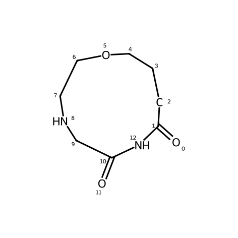 O=C1CCCOCCNCC(=O)N1